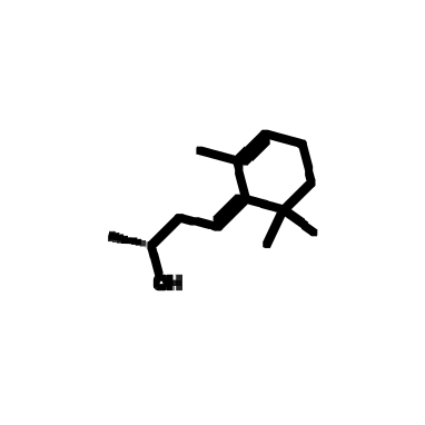 CC1=CCCC(C)(C)/C1=C/C[C@@H](C)O